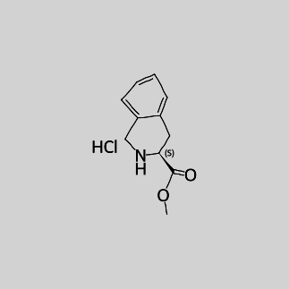 COC(=O)[C@@H]1Cc2ccccc2CN1.Cl